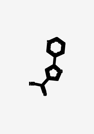 O=C(O)c1coc(-c2cccnc2)c1